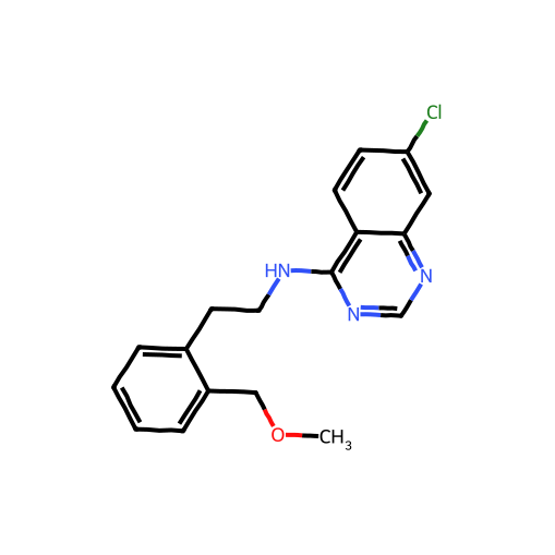 COCc1ccccc1CCNc1ncnc2cc(Cl)ccc12